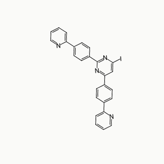 Ic1cc(-c2ccc(-c3ccccn3)cc2)nc(-c2ccc(-c3ccccn3)cc2)n1